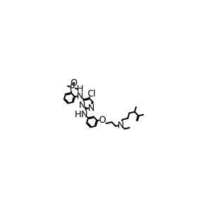 C=C(C)C(C)CCCN(CC)CCCOc1cccc(Nc2ncc(Cl)c(Nc3ccccc3P(C)(C)=O)n2)c1